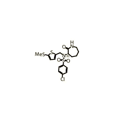 CSc1ccc(CN([C@@H]2CCCCNC2=O)S(=O)(=O)c2ccc(Cl)cc2)s1